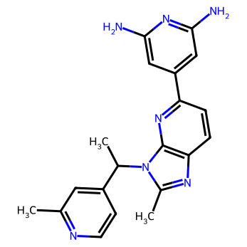 Cc1cc(C(C)n2c(C)nc3ccc(-c4cc(N)nc(N)c4)nc32)ccn1